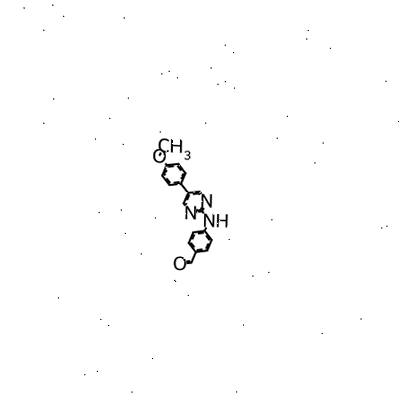 COc1ccc(-c2cnc(Nc3ccc(C=O)cc3)nc2)cc1